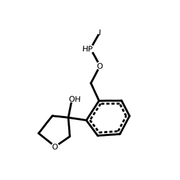 OC1(c2ccccc2COPI)CCOC1